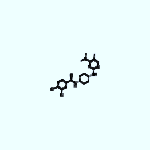 Cc1cnc(N[C@H]2CC[C@@H](NC(=O)c3ccc(Cl)c(Cl)c3)CC2)nc1N(C)C